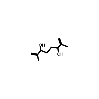 C=C(C)C(O)CCC(O)C(=C)C